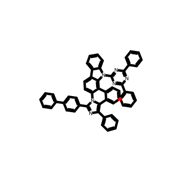 c1ccc(-c2ccc(-c3nc(-c4ccccc4)c4c5ccccc5c5c6c(ccc5n34)c3ccccc3n6-c3nc(-c4ccccc4)nc(-c4ccccc4)n3)cc2)cc1